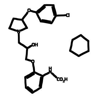 C1CCCCC1.O=C(O)Nc1ccccc1OCC(O)CN1CCC(Oc2ccc(Cl)cc2)C1